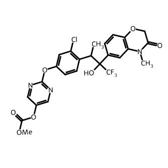 COC(=O)Oc1cnc(Oc2ccc(C(C)C(O)(c3ccc4c(c3)N(C)C(=O)CO4)C(F)(F)F)c(Cl)c2)nc1